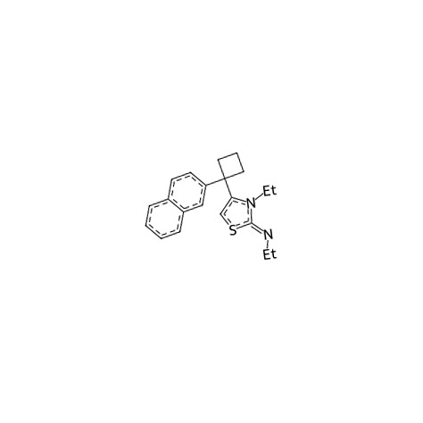 CCN=c1scc(C2(c3ccc4ccccc4c3)CCC2)n1CC